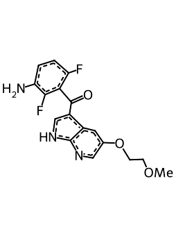 COCCOc1cnc2[nH]cc(C(=O)c3c(F)ccc(N)c3F)c2c1